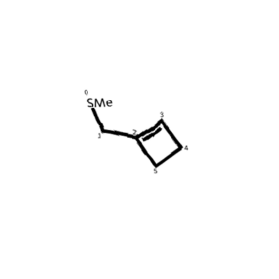 CSCC1=CCC1